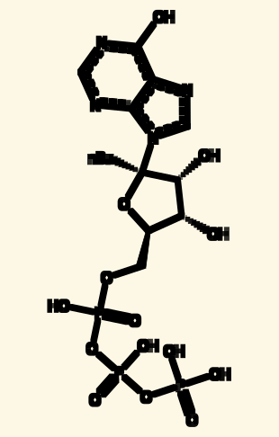 CCCC[C@@]1(n2cnc3c(O)ncnc32)O[C@H](COP(=O)(O)OP(=O)(O)OP(=O)(O)O)[C@@H](O)[C@H]1O